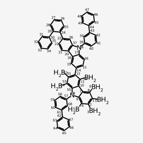 Bc1c(B)c(B)c2c(c1B)c1c(B)c(-c3ccc4c(c3)c3ccc(-c5ccccc5-c5ccccc5)cc3n4-c3cccc(-c4ccccc4)c3)c(B)c(B)c1n2-c1cccc(-c2ccccc2)c1